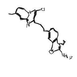 Cc1ccn2c(Cl)c(CCc3ccc4nc(N)oc4c3)nc2c1